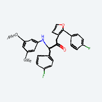 COc1cc(NC(C(=O)c2ccoc2-c2ccc(F)cc2)c2ccc(F)cc2)cc(OC)c1